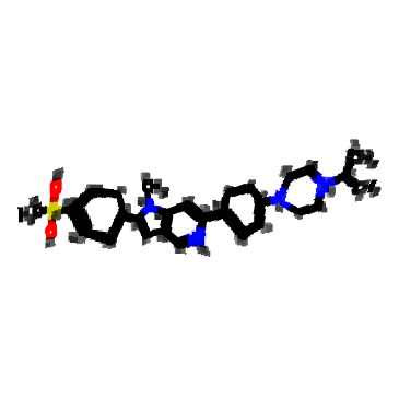 CC(C)N1CCN(c2ccc(-c3cc4c(cn3)cc(-c3ccc(S(C)(=O)=O)cc3)n4C)cc2)CC1